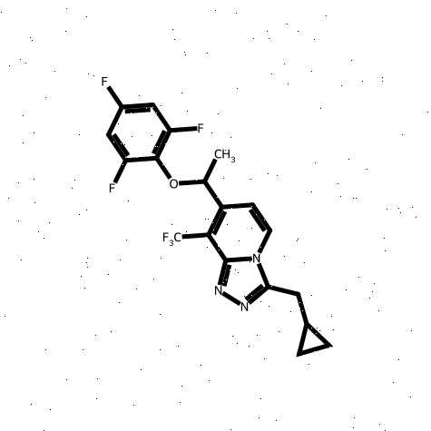 CC(Oc1c(F)cc(F)cc1F)c1ccn2c(CC3CC3)nnc2c1C(F)(F)F